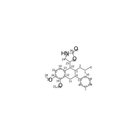 CCCC1C(c2ccccc2)Cc2c(ccc(OC)c2OC)C1C1CNC(=O)O1